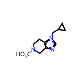 O=C(O)N1CCc2c(ncn2CC2CC2)C1